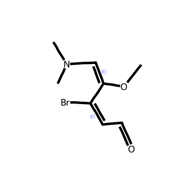 COC(=C/N(C)C)/C(Br)=C\C=O